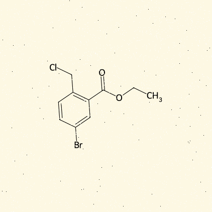 CCOC(=O)c1cc(Br)ccc1CCl